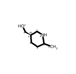 CC1CC[C@@H](CO)CN1